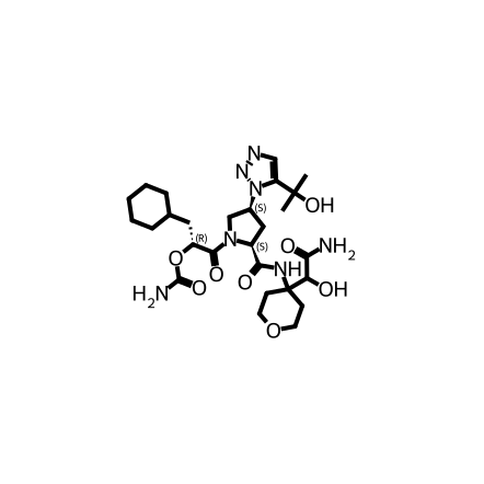 CC(C)(O)c1cnnn1[C@H]1C[C@@H](C(=O)NC2(C(O)C(N)=O)CCOCC2)N(C(=O)[C@@H](CC2CCCCC2)OC(N)=O)C1